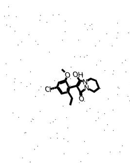 CCc1cc(Cl)cc(OC)c1-c1c(O)n2n(c1=O)CCCC2